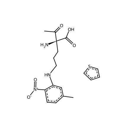 CC(=O)[C@@](N)(CCCNc1cc(C)ccc1[N+](=O)[O-])C(=O)O.c1ccsc1